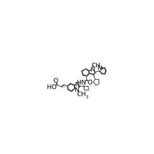 Cn1c(C2(NC(=O)c3cccc4c3c(C3CCCC3)c(-c3ccccn3)n4C)CCC2)nc2cc(/C=C/C(=O)O)ccc21